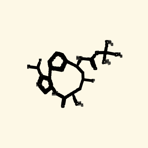 C[C@@H]1CC(F)C[C@H](NC(=O)OC(C)(C)C)c2cccc(c2)-c2c(cnn2C(F)F)NC1=O